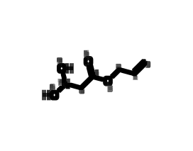 C=CCOC(=O)CN(O)O